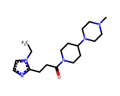 CN1CCN(C2CCN(C(=O)CCc3nccn3CC(F)(F)F)CC2)CC1